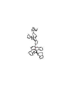 c1ccc(-n2c3cc(-c4ccc(-c5ccccc5N(c5ccc6ccccc6c5)c5cccc6ccccc56)cc4)ccc3c3ccc(-c4ncncn4)cc32)cc1